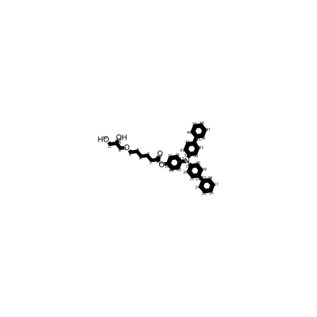 O=C(CCCCCOCC(O)CO)Oc1ccc(N(c2ccc(-c3ccccc3)cc2)c2ccc(-c3ccccc3)cc2)cc1